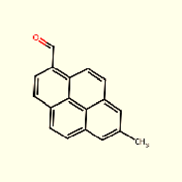 Cc1cc2ccc3ccc(C=O)c4ccc(c1)c2c34